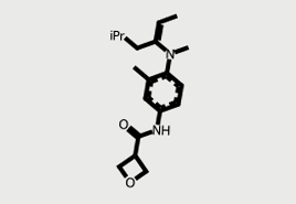 C/C=C(/CC(C)C)N(C)c1ccc(NC(=O)C2COC2)cc1C